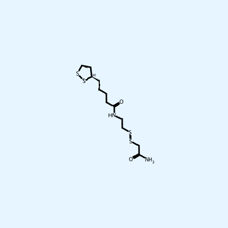 NC(=O)CSSCCNC(=O)CCCC[C@@H]1CCSS1